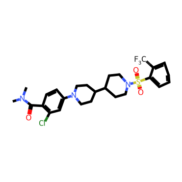 CN(C)C(=O)c1ccc(N2CCC(C3CCN(S(=O)(=O)c4ccccc4C(F)(F)F)CC3)CC2)cc1Cl